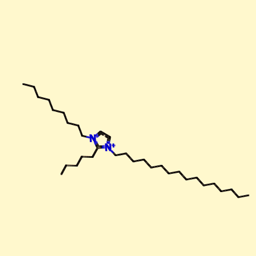 CCCCCCCCCCCCCCCC[n+]1ccn(CCCCCCCCC)c1CCCCC